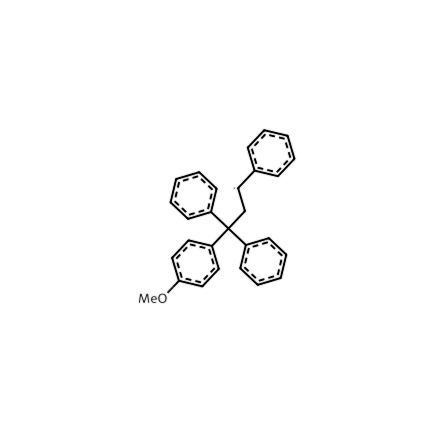 COc1ccc(C(C[CH]c2ccccc2)(c2ccccc2)c2ccccc2)cc1